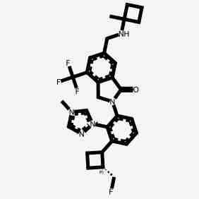 Cn1cn[n+](-c2c(C3CC[C@H]3CF)cccc2N2Cc3c(cc(CNC4(C)CCC4)cc3C(F)(F)F)C2=O)c1